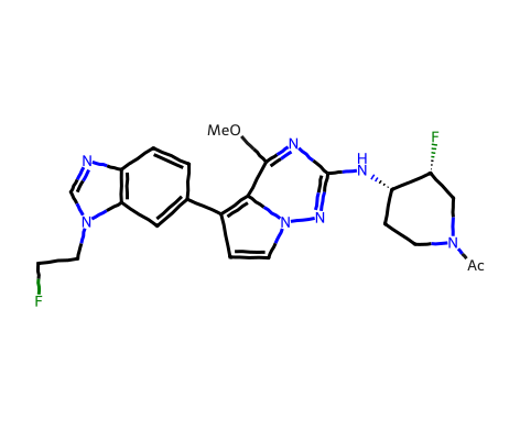 COc1nc(N[C@H]2CCN(C(C)=O)C[C@H]2F)nn2ccc(-c3ccc4ncn(CCF)c4c3)c12